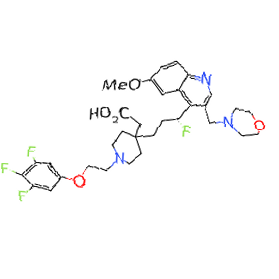 COc1ccc2ncc(CN3CCOCC3)c([C@H](F)CCC3(CC(=O)O)CCN(CCOc4cc(F)c(F)c(F)c4)CC3)c2c1